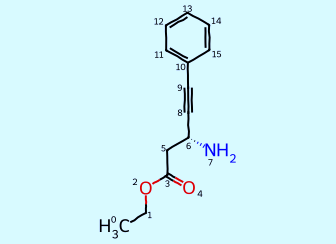 CCOC(=O)C[C@@H](N)C#Cc1ccccc1